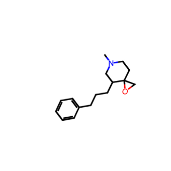 CN1CCC2(CO2)C(CCCc2ccccc2)C1